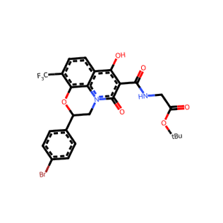 CC(C)(C)OC(=O)CNC(=O)c1c(O)c2ccc(C(F)(F)F)c3c2n(c1=O)CC(c1ccc(Br)cc1)O3